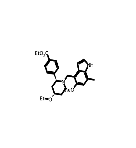 CCOC(=O)c1ccc([C@@H]2C[C@@H](OCC)CCN2Cc2c(OC)cc(C)c3[nH]ccc23)cc1